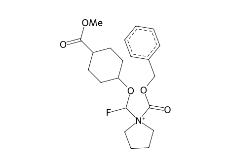 COC(=O)C1CCC(OC(F)[N+]2(C(=O)OCc3ccccc3)CCCC2)CC1